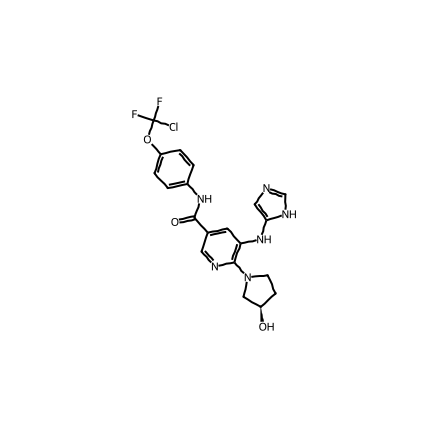 O=C(Nc1ccc(OC(F)(F)Cl)cc1)c1cnc(N2CC[C@@H](O)C2)c(Nc2cnc[nH]2)c1